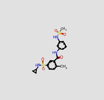 Cc1ccc(S(=O)(=O)NC2CC2)cc1C(=O)Nc1cccc(NS(C)(=O)=O)c1